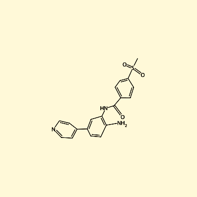 CS(=O)(=O)c1ccc(C(=O)Nc2cc(-c3ccncc3)ccc2N)cc1